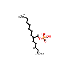 CCCCCCCCCCCCCCCCC(CCCCCCCCCCCCCC)COP(=O)(O)O